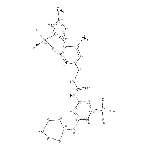 Cc1cc(CNC(=O)Nc2cc(OC3CCOCC3)nc(C(F)(F)F)c2)nnc1-c1cn(C)nc1C(F)(F)F